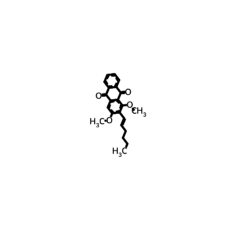 CCCC/C=C/c1c(OC)cc2c(c1OC)C(=O)c1ccccc1C2=O